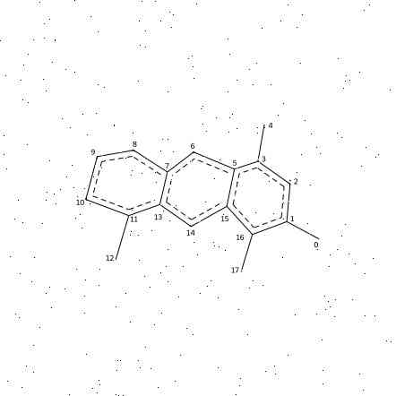 Cc1[c]c(C)c2cc3cccc(C)c3cc2c1C